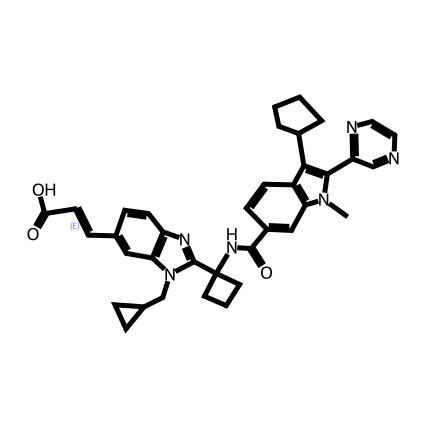 Cn1c(-c2cnccn2)c(C2CCCC2)c2ccc(C(=O)NC3(c4nc5ccc(/C=C/C(=O)O)cc5n4CC4CC4)CCC3)cc21